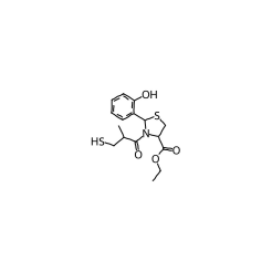 CCOC(=O)C1CSC(c2ccccc2O)N1C(=O)C(C)CS